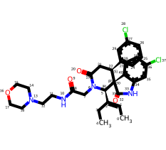 CC=C(CC)[C@H]1N(CC(=O)NCCN2CCOCC2)C(=O)C[C@@H](c2cccc(Cl)c2)[C@]12C(=O)Nc1cc(Cl)ccc12